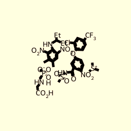 CCC(CC)Nc1c([N+](=O)[O-])cc(C)c(C)c1[N+](=O)[O-].CS(=O)(=O)NC(=O)c1cc(Oc2ccc(C(F)(F)F)cc2Cl)ccc1[N+](=O)[O-].C[S+](C)C.O=C(O)CNCP(=O)([O-])O